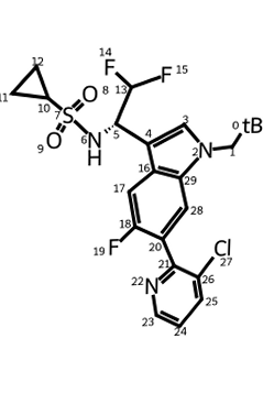 CC(C)(C)Cn1cc([C@H](NS(=O)(=O)C2CC2)C(F)F)c2cc(F)c(-c3ncccc3Cl)cc21